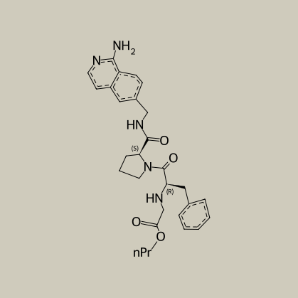 CCCOC(=O)CN[C@H](Cc1ccccc1)C(=O)N1CCC[C@H]1C(=O)NCc1ccc2c(N)nccc2c1